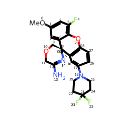 COc1cc(F)c2c(c1)[C@]1(COCC(N)=N1)c1cc(N3CCC(F)(F)CC3)ccc1O2